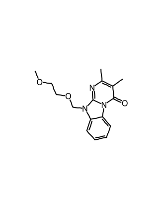 COCCOCn1c2ccccc2n2c(=O)c(C)c(C)nc12